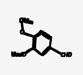 COOc1ccc(C=O)cc1OC